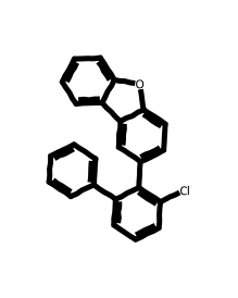 Clc1cccc(-c2ccccc2)c1-c1ccc2oc3ccccc3c2c1